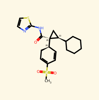 CS(=O)(=O)C1=CC[C@@H]([C@@]2(C(=O)Nc3nccs3)C[C@H]2C2CCCCC2)C=C1